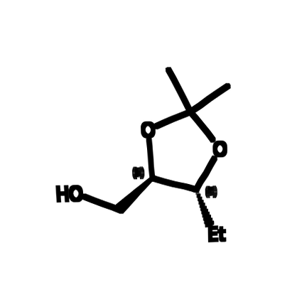 CC[C@H]1OC(C)(C)O[C@@H]1CO